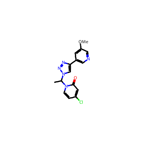 COc1cncc(-c2cn(C(C)n3ccc(Cl)cc3=O)nn2)c1